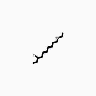 CCNCC/C=C/C=C/CC(Cl)CC